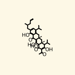 C=CCC(C)Cc1cc(C(C)C)c2c(c1O)C(=O)C1=C(O)[C@@]3(O)C(=O)C(C(C)=O)=C(O)C(C(C)C)[C@@]3(C)C[C@@]1(C)C2